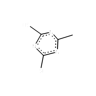 Cc1nc(S)nc(S)n1